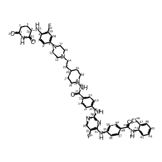 O=C1CC[C@H](Nc2ccc(N3CCN(CCC4CCN(NC(=O)c5ccc(Nc6ncc(F)c(Nc7ccc(C(=O)Nc8ccccc8Cl)cc7)n6)cc5)CC4)CC3)cc2F)C(=O)N1